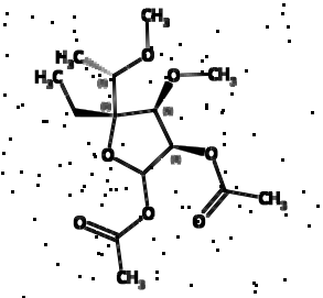 CC[C@]1([C@H](C)OC)OC(OC(C)=O)[C@H](OC(C)=O)[C@@H]1OC